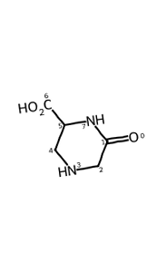 O=C1CNCC(C(=O)O)N1